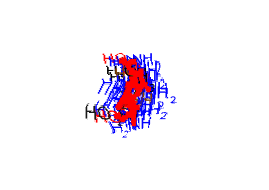 C[C@@H](O)[C@H](NC(=O)[C@H](CCN)NC(=O)[C@H](CCCNC(=N)N)NC(=O)[C@H](CC(N)=O)NC(=O)[C@@H](NC(=O)[C@H](Cc1ccc(O)cc1)NC(=O)[C@@H](N)CCN)C(C)(C)S)C(=O)N[C@H](CCN)C(=O)N[C@@H](CCCCN)C(=O)N[C@@H](CS)C(=O)N[C@@H](CCN)C(=O)N[C@@H](CCCNC(=N)N)C(=O)N[C@@H](Cc1ccc(O)cc1)C(=O)O